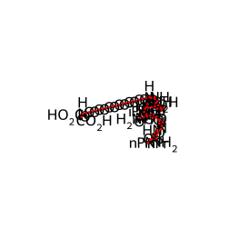 CCCN(CCC)C(=O)C1=Cc2ccc(C(=O)Nc3cnc4c(c3)CN(C(=O)OCc3ccc(NC(=O)[C@H](CCCNC(N)=O)NC(=O)[C@@H](NC(=O)[C@H](CCC(=O)O)NC(=O)CCc5ccc(N6C(=O)C=CC6=O)cc5C(=O)NCC(=O)NCC(=O)NCCOCCOCCOCCOCCOCCOCCOCCOCCOCCOCCOCCOCCC(=O)N[C@@H](CCC(=O)O)C(=O)O)C(C)C)cc3)CC4)cc2N=C(N)C1